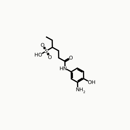 CCC(CCC(=O)Nc1ccc(O)c(N)c1)S(=O)(=O)O